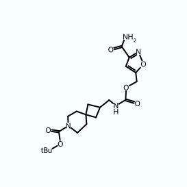 CC(C)(C)OC(=O)N1CCC2(CC1)CC(CNC(=O)OCc1cc(C(N)=O)no1)C2